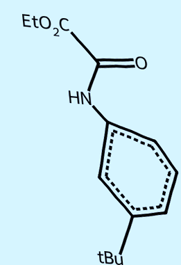 CCOC(=O)C(=O)Nc1cccc(C(C)(C)C)c1